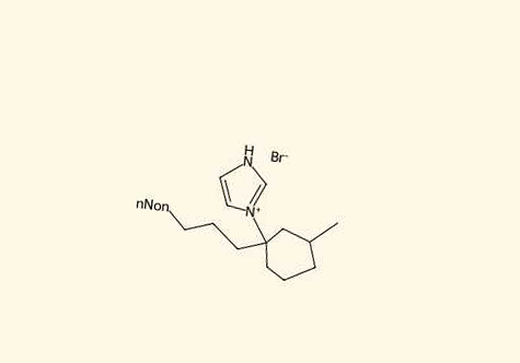 CCCCCCCCCCCCC1([n+]2cc[nH]c2)CCCC(C)C1.[Br-]